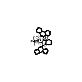 O=P1(NS(=O)(=O)C(F)(F)F)N(c2cc3ccccc3c3ccccc23)[C@@H]2CCCC[C@H]2N1c1cc2ccccc2c2ccccc12